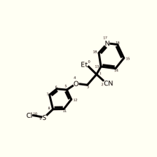 CCC(C#N)(COc1ccc(SCl)cc1)c1cccnc1